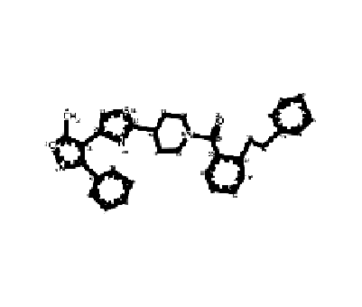 Cc1onc(-c2ccccc2)c1-c1csc(C2CCN(C(=O)c3ccccc3CCc3ccccc3)CC2)n1